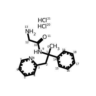 CC(Cc1ccccn1)(NC(=O)CN)c1ccccc1.Cl.Cl